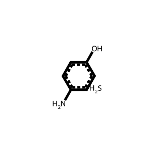 Nc1ccc(O)cc1.S